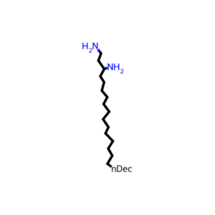 CCCCCCCCCCCCCCCCCCCCCCCC(N)CCN